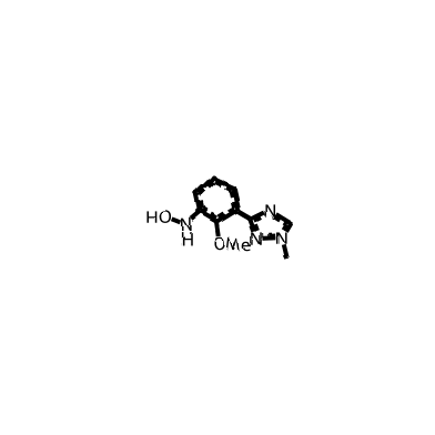 COc1c(NO)cccc1-c1ncn(C)n1